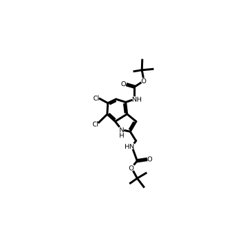 CC(C)(C)OC(=O)NCc1cc2c(NC(=O)OC(C)(C)C)cc(Cl)c(Cl)c2[nH]1